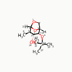 C[C@H]1[C@@H]2OC[C@@H](O2)[C@@H](O[Si](C)(C)C)[C@@H]1O